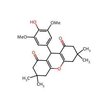 COc1cc(C2C3=C(CC(C)(C)CC3=O)OC3=C2C(=O)CC(C)(C)C3)cc(OC)c1O